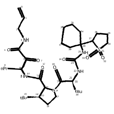 C=CCNC(=O)C(=O)C(CCC)NC(=O)C1[C@H](C(C)(C)C)CCN1C(=O)[C@@H](NC(=O)NC1(C2CCCS2(=O)=O)CCCCC1)C(C)(C)C